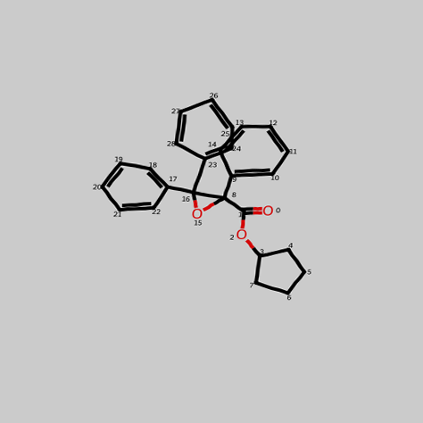 O=C(OC1CCCC1)C1(c2ccccc2)OC1(c1ccccc1)c1ccccc1